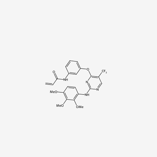 C=CC(=O)Nc1cccc(Oc2nc(Nc3ccc(OC)c(OC)c3OC)ncc2C(F)(F)F)c1